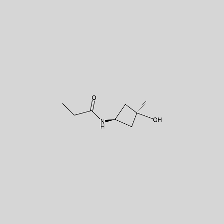 CCC(=O)N[C@H]1C[C@@](C)(O)C1